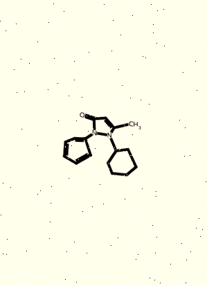 Cc1cc(=O)n(-c2ccccc2)n1C1CCCCC1